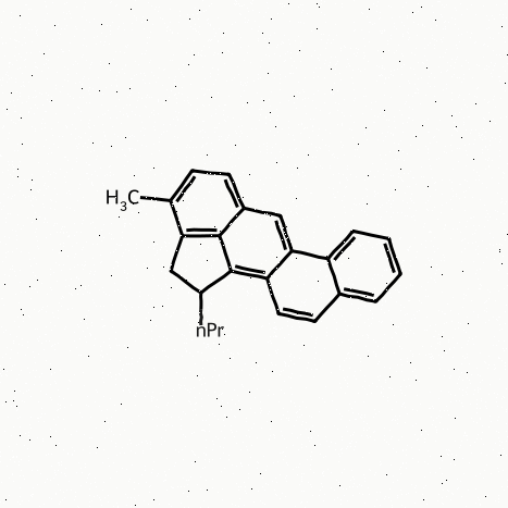 CCCC1Cc2c(C)ccc3cc4c(ccc5ccccc54)c1c23